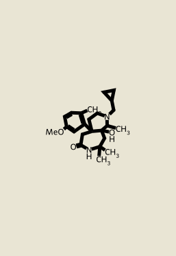 COc1ccc(C)c(C23CCN(CC4CC4)C(C)C2(O)CC(C)(C)NC(=O)C3)c1